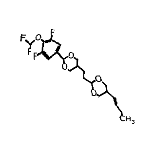 CCC=CC1COC(CCC2COC(c3cc(F)c(OC(F)F)c(F)c3)OC2)OC1